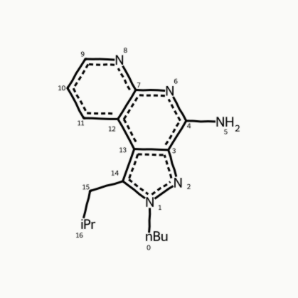 CCCCn1nc2c(N)nc3ncccc3c2c1CC(C)C